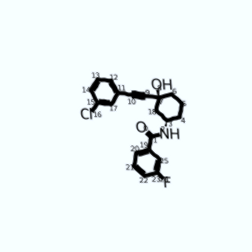 O=C(N[C@H]1CCC[C@@](O)(C#Cc2cccc(Cl)c2)C1)c1cccc(F)c1